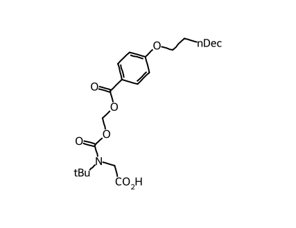 CCCCCCCCCCCCOc1ccc(C(=O)OCOC(=O)N(CC(=O)O)C(C)(C)C)cc1